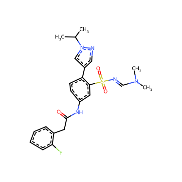 CC(C)n1cc(-c2ccc(NC(=O)Cc3ccccc3F)cc2S(=O)(=O)N=CN(C)C)cn1